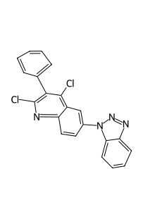 Clc1nc2ccc(-n3nnc4ccccc43)cc2c(Cl)c1-c1ccccc1